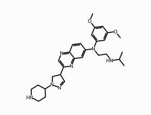 COc1cc(OC)cc(N(CCNC(C)C)c2ccc3ncc(C4C=NN(C5CCNCC5)C4)nc3c2)c1